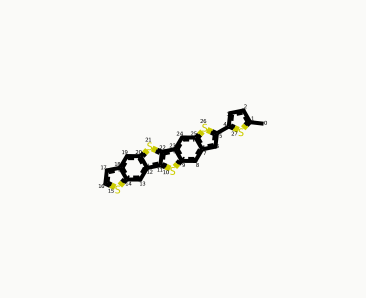 Cc1ccc(-c2cc3cc4sc5c6cc7sccc7cc6sc5c4cc3s2)s1